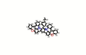 CC(C)(C)c1ccc(-c2c3c(cc4c5ccc6c7c5n(c24)-c2ccccc2B7c2ccccc2O6)c2ccc4c5c2n3-c2ccccc2B5c2ccccc2O4)cc1